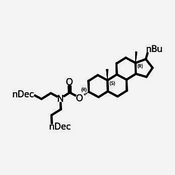 CCCCCCCCCCCCN(CCCCCCCCCCCC)C(=O)O[C@@H]1CC[C@@]2(C)C(CCC3C2CC[C@]2(C)C(CCCC)CCC32)C1